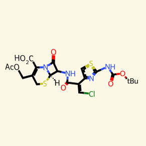 CC(=O)OCC1=C(C(=O)O)N2C(=O)C(NC(=O)/C(=C/Cl)c3csc(NC(=O)OC(C)(C)C)n3)[C@H]2SC1